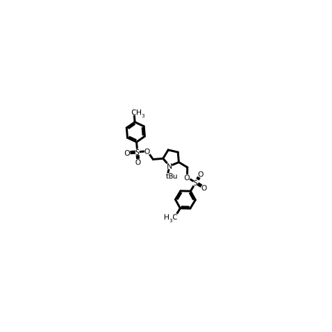 Cc1ccc(S(=O)(=O)OCC2CCC(COS(=O)(=O)c3ccc(C)cc3)N2C(C)(C)C)cc1